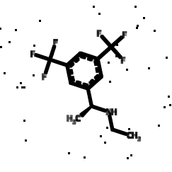 CCN[C@@H](C)c1cc(C(F)(F)F)cc(C(F)(F)F)c1